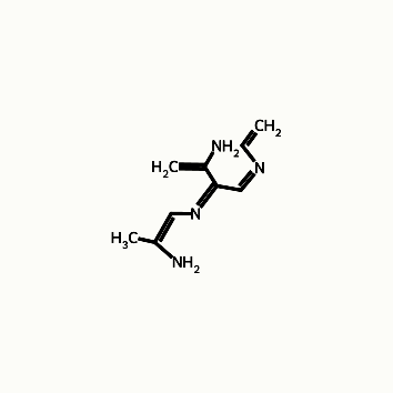 C=C\N=C/C(=N/C=C(/C)N)C(=C)N